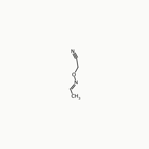 C/[C]=N/OCC#N